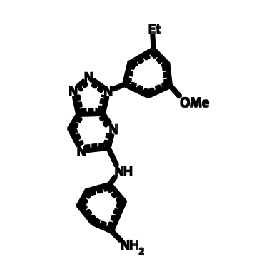 CCc1cc(OC)cc(-n2nnc3cnc(Nc4cccc(N)c4)nc32)c1